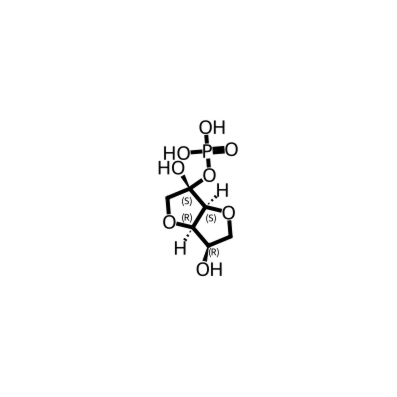 O=P(O)(O)O[C@@]1(O)CO[C@@H]2[C@H](O)CO[C@@H]21